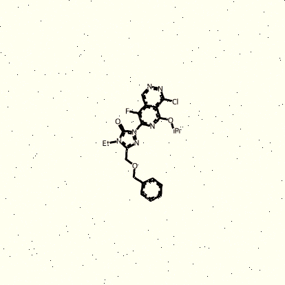 CCn1c(COCc2ccccc2)nn(-c2nc(OC(C)C)c3c(Cl)nncc3c2F)c1=O